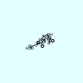 CC(C)CC(C(=O)N[C@@H](Cc1ccc(OCCCS(=O)(=O)O)cc1)C(=O)Nc1ccccc1)C(CN1C(=O)c2ccccc2C1=O)C(=O)NO